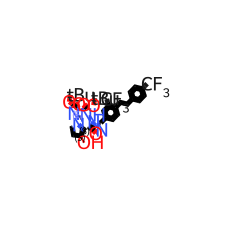 CC(C)(C)OC(=O)/N=C(\NC(=O)OC(C)(C)C)N1CC[C@H](O)[C@H]1c1nc(-c2ccc(CCc3ccc(C(F)(F)F)cc3)c(C(F)(F)F)c2)no1